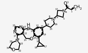 C=CC(=O)N1CC(N2CCC(c3cc4c(c(C5CC5)c3)OCc3c(ncnc3N3CCOCC3)N4)CC2)C1